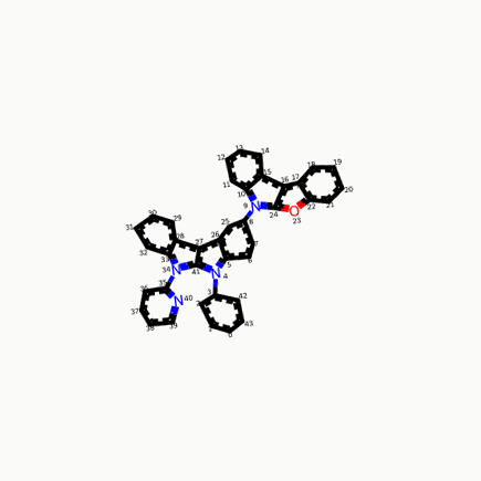 c1ccc(-n2c3ccc(-n4c5ccccc5c5c6ccccc6oc54)cc3c3c4ccccc4n(-c4ccccn4)c32)cc1